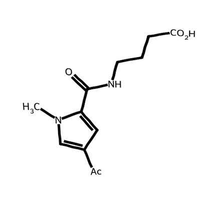 CC(=O)c1cc(C(=O)NCCCC(=O)O)n(C)c1